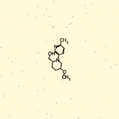 CO[C@H]1CC[C@@H](CO)N(c2ccc(C)nc2)C1